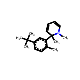 Cc1ccc(C(C)(C)C)cc1C1(C)C=CC=CN1C